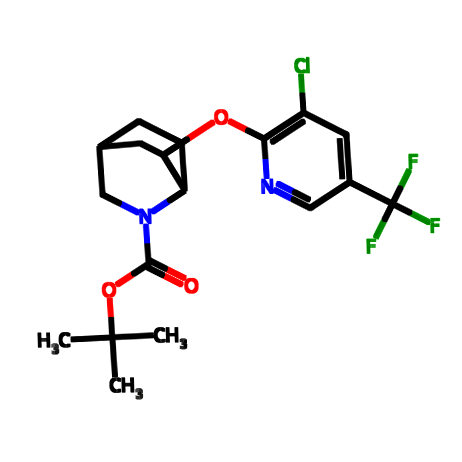 CC(C)(C)OC(=O)N1CC2CCC1C(Oc1ncc(C(F)(F)F)cc1Cl)C2